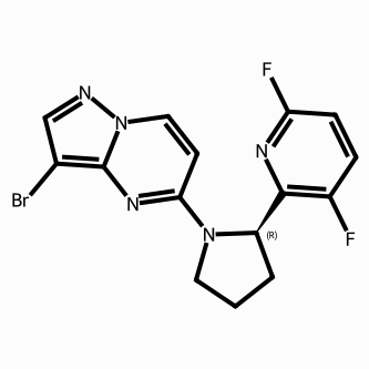 Fc1ccc(F)c([C@H]2CCCN2c2ccn3ncc(Br)c3n2)n1